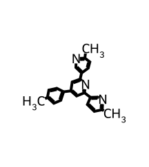 Cc1ccc(-c2cc(-c3ccc(C)nc3)nc(-c3ccc(C)nc3)c2)cc1